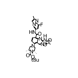 Cc1cn2cc(NC(=O)c3ccc(N4C[C@@H](C)N(C(=O)OC(C)(C)C)[C@@H](C)C4)c4cnc(NS(C)(=O)=O)nc34)cc(F)c2n1